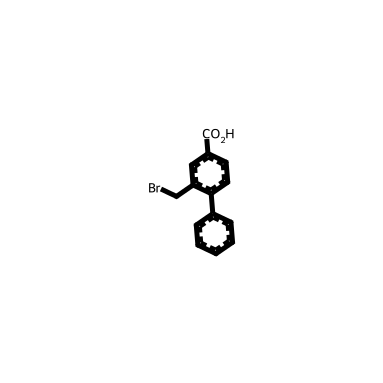 O=C(O)c1ccc(-c2ccccc2)c(CBr)c1